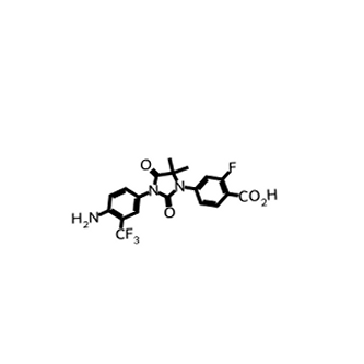 CC1(C)C(=O)N(c2ccc(N)c(C(F)(F)F)c2)C(=O)N1c1ccc(C(=O)O)c(F)c1